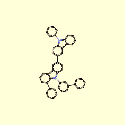 c1ccc(-c2cccc(-n3c4ccc(-c5ccc6c(c5)c5ccccc5n6-c5ccccc5)cc4c4cccc(-c5ccccc5)c43)c2)cc1